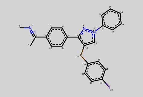 C/N=C(\C)c1ccc(-c2nn(-c3ccccc3)cc2Sc2ccc(I)cc2)cc1